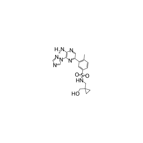 Cc1ccc(S(=O)(=O)NCC2(CO)CC2)cc1-c1cnc(N)c(-n2cncn2)n1